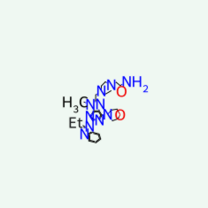 CCc1nc2ccccc2n1-c1nc(N2CCOCC2)c2nc(CN3CCN(CC(N)=O)CC3)n(C)c2n1